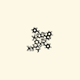 CC(C)C[C@@H](C(=O)N1CCCC[C@@H]1C(=O)N[C@@H](COc1cnc2ccccc2c1C(=O)N[C@@H](CC(=O)OC(C)(C)C)C(=O)OCc1ccccc1)Cc1ccccc1)N(C)C(=O)OC(C)(C)C